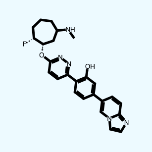 CNC1CCC[C@@H](F)[C@@H](Oc2ccc(-c3ccc(-c4ccc5nccn5c4)cc3O)nn2)C1